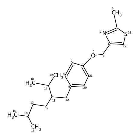 Cc1nc(COc2ccc(CC(CCC(C)C)C(C)C)cc2)cs1